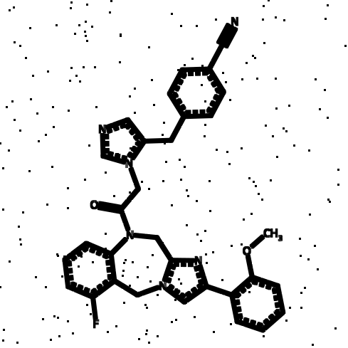 COc1ccccc1-c1cn2c(n1)CN(C(=O)Cn1cncc1Cc1ccc(C#N)cc1)c1cccc(F)c1C2